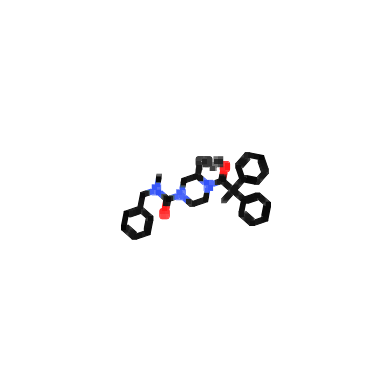 CN(Cc1ccccc1)C(=O)N1CCN(C(=O)C(C)(c2ccccc2)c2ccccc2)[C@H](C(=O)O)C1